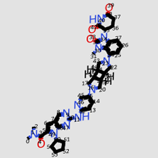 CN(C)C(=O)c1cc2cnc(Nc3ccc(N4C[C@@H]5[C@H](C4)[C@H]4CN(c6cccc7c6n(C)c(=O)n7[C@H]6CCC(=O)NC6=O)C[C@@H]54)cn3)nc2n1C1CCCC1